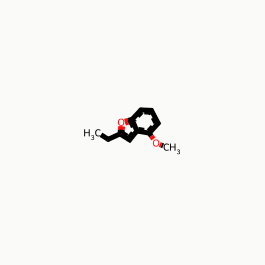 CCc1cc2c(OC)cccc2o1